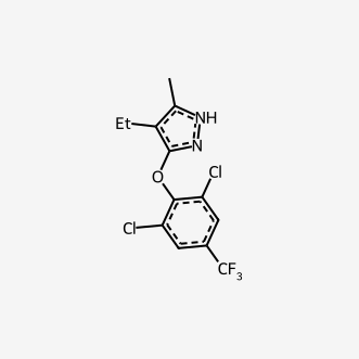 CCc1c(Oc2c(Cl)cc(C(F)(F)F)cc2Cl)n[nH]c1C